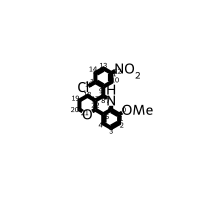 COc1cccc2c1NC(c1cc([N+](=O)[O-])ccc1Cl)C1CCCOC21